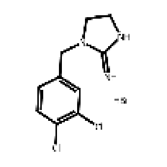 Br.N=C1NCCN1Cc1ccc(Cl)c(Cl)c1